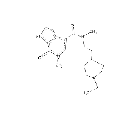 CCN1CCC(CCN(C)C(=O)c2cn(C)c(=O)c3[nH]ccc23)CC1